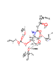 C=CCOC(=O)O[C@H]1[C@H](OCCCCCCCCCC)[C@@H](NC(=O)CC(=O)CCCCCCCCC)[C@@H](O/C=C\C)O[C@@H]1CO[Si](C)(C)C(C)(C)C